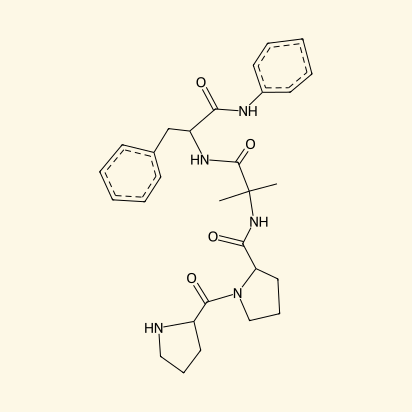 CC(C)(NC(=O)C1CCCN1C(=O)C1CCCN1)C(=O)NC(Cc1ccccc1)C(=O)Nc1ccccc1